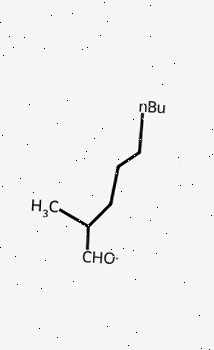 CCCCCCCC(C)[C]=O